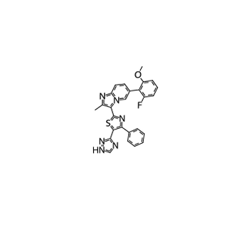 COc1cccc(F)c1-c1ccc2nc(C)c(-c3nc(-c4ccccc4)c(-c4nc[nH]n4)s3)n2c1